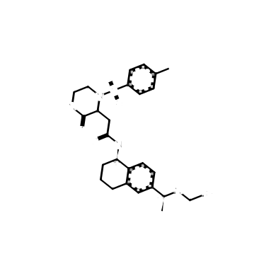 Cc1ccc(S(=O)(=O)N2CCNC(=O)C2CC(=O)N[C@@H]2CCCc3cc([C@H](C)NCC(C)C)ccc32)cc1